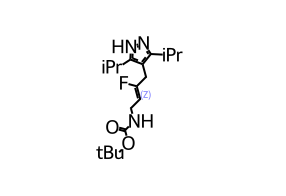 CC(C)c1n[nH]c(C(C)C)c1C/C(F)=C/CNC(=O)OC(C)(C)C